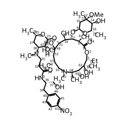 CC[C@H]1OC(=O)[C@H](C)[C@@H](O[C@H]2C[C@@](C)(OC)[C@@H](O)[C@H](C)O2)[C@H](C)[C@@H](O[C@@H]2O[C@H](C)C[C@H](N(C)CCC(=O)N[C@H](CO)Cc3ccc([N+](=O)[O-])cc3)[C@H]2O)[C@](C)(O)C[C@@H](C)CN(C)[C@H](C)[C@@H](O)[C@]1(C)O